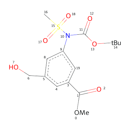 COC(=O)c1cc(CO)cc(N(C(=O)OC(C)(C)C)S(C)(=O)=O)c1